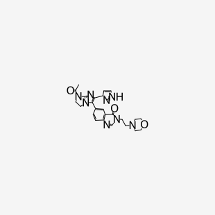 CC(=O)N1CCn2c1nc(-c1cc[nH]n1)c2-c1ccc2ncn(CCN3CCOCC3)c(=O)c2c1